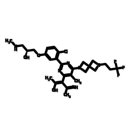 CNC[C@@H](O)COc1ccc(Cl)c(-c2nc(/C(C(C)=N)=C(\C)O)c(C)c(N3CC4(CN(CCC(F)(F)F)C4)C3)n2)c1